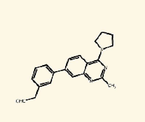 Cc1nc(N2CCCC2)c2ccc(-c3cccc(CC=O)c3)cc2n1